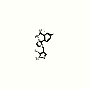 CCn1ncc(Cn2ccnc2-c2ccc(F)cc2C(C)O)c1Br